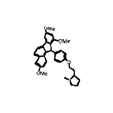 COc1cc(OC)c2c(c1)-c1ccc3cc(OC)ccc3c1C2c1ccc(OCCC2CCCN2C)cc1